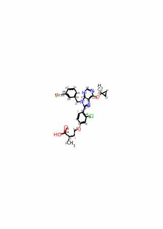 C[C@H](CCOc1ccc(-c2nc3c(OC4(C)CC4)ncnc3n2Cc2cccc(Br)c2)c(Cl)c1)C(=O)O